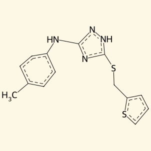 Cc1ccc(Nc2n[nH]c(SCc3cccs3)n2)cc1